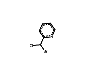 ClC(Br)c1ccccn1